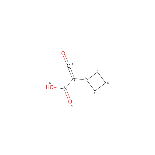 O=C=C(C(=O)O)C1CCC1